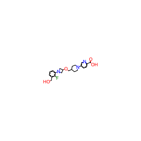 O=C(O)c1ccc(N2CCC(COC3CN(c4cccc(CO)c4F)C3)CC2)cn1